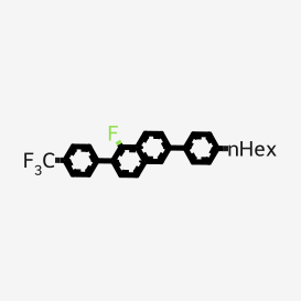 CCCCCCc1ccc(-c2ccc3c(F)c(-c4ccc(C(F)(F)F)cc4)ccc3c2)cc1